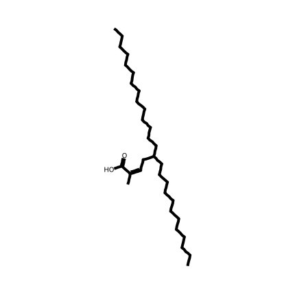 CCCCCCCCCCCCCCC(CC=C(C)C(=O)O)CCCCCCCCCCCC